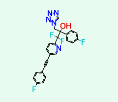 OC(Cn1cnnn1)(c1ccc(F)cc1)C(F)(F)c1ccc(C#Cc2ccc(F)cc2)cn1